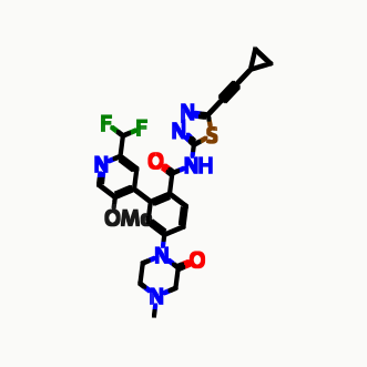 COc1cnc(C(F)F)cc1-c1cc(N2CCN(C)CC2=O)ccc1C(=O)Nc1nnc(C#CC2CC2)s1